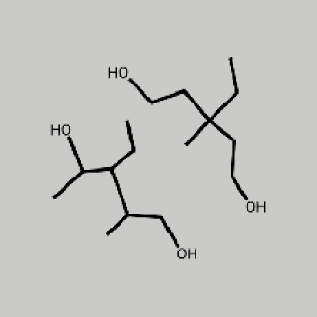 CCC(C(C)O)C(C)CO.CCC(C)(CCO)CCO